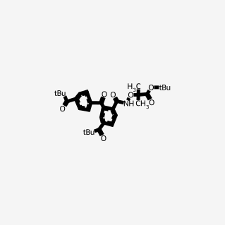 CC(C)(C)OC(=O)C(C)(C)ONC(=O)c1ccc(C(=O)C(C)(C)C)cc1C(=O)c1ccc(C(=O)C(C)(C)C)cc1